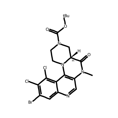 CN1C(=O)[C@H]2CN(C(=O)OC(C)(C)C)CCN2c2c1cnc1cc(Br)c(Cl)c(Cl)c21